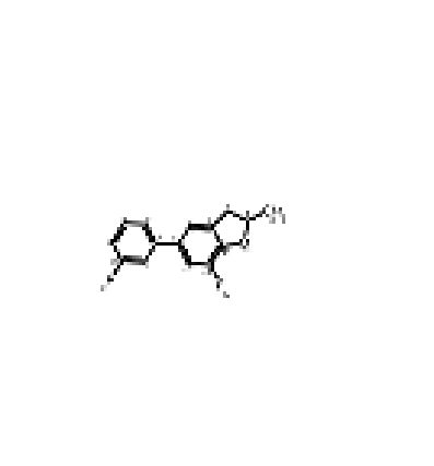 CC1Cc2cc(-c3cccc(F)c3)cc(F)c2O1